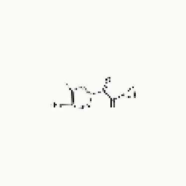 Cc1cc(C(=O)NC2CC2)ccc1C(C)(C)C